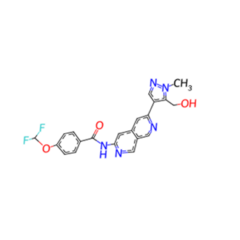 Cn1ncc(-c2cc3cc(NC(=O)c4ccc(OC(F)F)cc4)ncc3cn2)c1CO